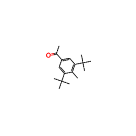 CC(=O)c1cc(C(C)(C)C)c(C)c(C(C)(C)C)c1